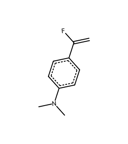 C=C(F)c1ccc(N(C)C)cc1